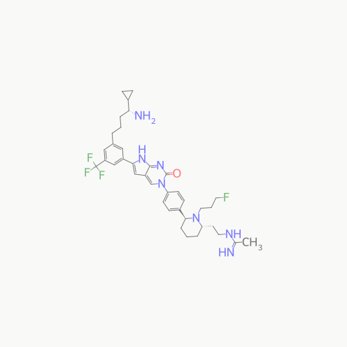 CC(=N)NCC[C@@H]1CCC[C@@H](c2ccc(-n3cc4cc(-c5cc(CCC[C@@H](N)C6CC6)cc(C(F)(F)F)c5)[nH]c4nc3=O)cc2)N1CCCF